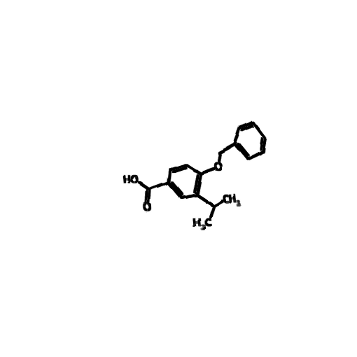 CC(C)c1cc(C(=O)O)ccc1OCc1ccccc1